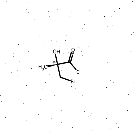 C[C@](O)(CBr)C(=O)Cl